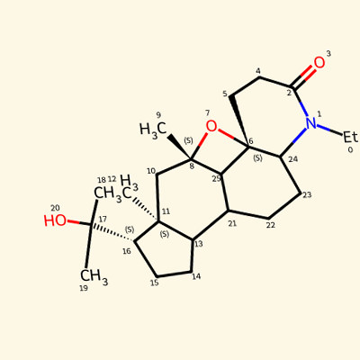 CCN1C(=O)CC[C@@]23O[C@@]4(C)C[C@@]5(C)C(CC[C@@H]5C(C)(C)O)C(CCC12)C34